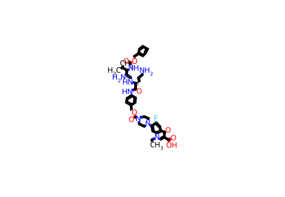 CCn1cc(C(=O)O)c(=O)c2cc(F)c(N3CCN(C(=O)OCc4ccc(NC(=O)[C@H](CCCN)N/C=C(\N)C(NC(=O)OCc5ccccc5)C(C)C)cc4)CC3)cc21